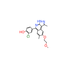 COCCOc1cc2c(cc1C)c(-c1ccc(O)c(Cl)c1)nc1[nH]nc(C)c12